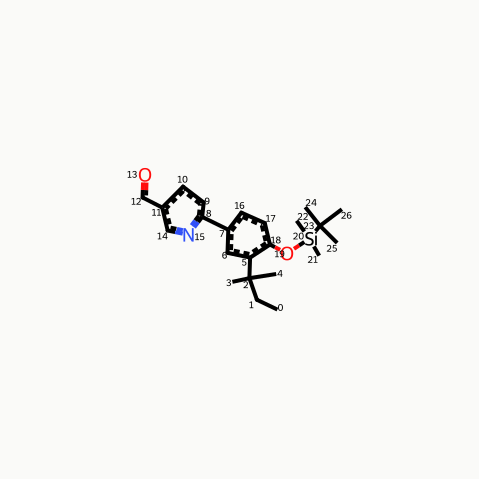 CCC(C)(C)c1cc(-c2ccc(C=O)cn2)ccc1O[Si](C)(C)C(C)(C)C